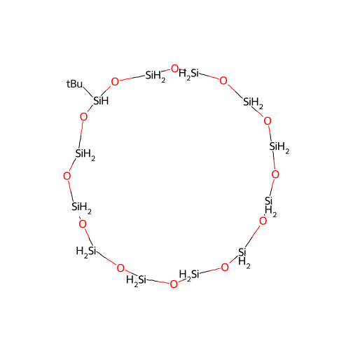 CC(C)(C)[SiH]1O[SiH2]O[SiH2]O[SiH2]O[SiH2]O[SiH2]O[SiH2]O[SiH2]O[SiH2]O[SiH2]O[SiH2]O[SiH2]O1